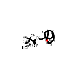 O=C(OCC12CC3=CC(CC(C3)C1)C2)C(F)(F)S(=O)(=O)O